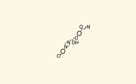 CN(C)C=CC(=O)c1ccc(OCC(O)CN2CCN(c3ccc(Cl)cc3)CC2)cc1